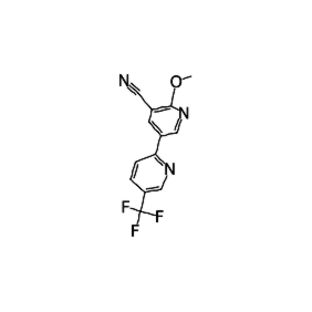 COc1ncc(-c2ccc(C(F)(F)F)cn2)cc1C#N